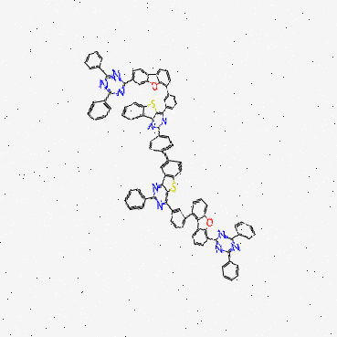 c1ccc(-c2nc(-c3ccccc3)nc(-c3ccc4c(c3)oc3c(-c5cccc(-c6nc(-c7ccc(-c8ccc9sc%10c(-c%11cccc(-c%12cccc%13oc%14c(-c%15nc(-c%16ccccc%16)nc(-c%16ccccc%16)n%15)cccc%14c%12%13)c%11)nc(-c%11ccccc%11)nc%10c9c8)cc7)nc7c6sc6ccccc67)c5)cccc34)n2)cc1